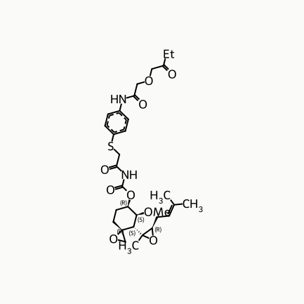 CCC(=O)COCC(=O)Nc1ccc(SCC(=O)NC(=O)O[C@@H]2CC[C@]3(CO3)[C@@H](C3(C)O[C@@H]3CC=C(C)C)[C@@H]2OC)cc1